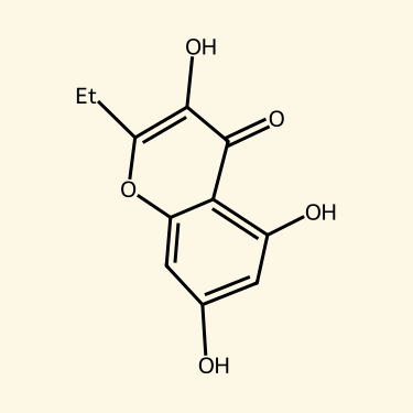 CCc1oc2cc(O)cc(O)c2c(=O)c1O